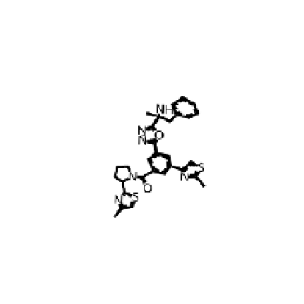 Cc1csc(C2CCCN2C(=O)c2cc(-c3csc(C)n3)cc(-c3nnc(C(C)(N)Cc4ccccc4)o3)c2)n1